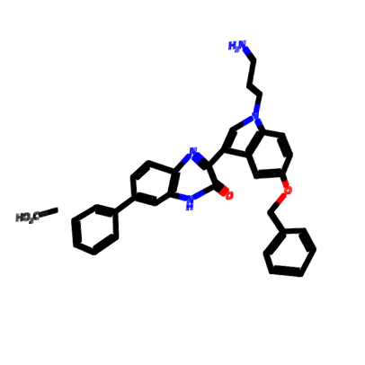 CC(=O)O.NCCCn1cc(-c2nc3ccc(-c4ccccc4)cc3[nH]c2=O)c2cc(OCc3ccccc3)ccc21